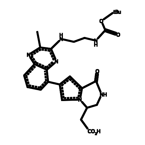 Cc1nc2cccc(-c3cc4n(c3)C(CC(=O)O)CNC4=O)c2nc1NCCNC(=O)OC(C)(C)C